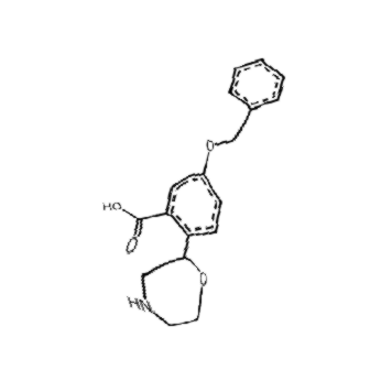 O=C(O)c1cc(OCc2ccccc2)ccc1C1CNCCO1